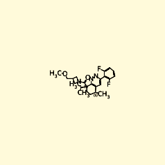 COCC1CN(C(=O)[C@@]2(C(C)C)CC[C@H](C)c3cc(-c4c(F)cccc4F)nnc32)C1